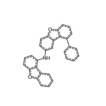 c1ccc(-c2cccc3oc4ccc(Nc5cccc6oc7ccccc7c56)cc4c23)cc1